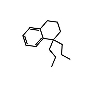 CCCC1(CCC)CCCc2ccccc21